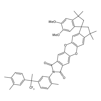 COc1cc2c(cc1OC)C1(CC2(C)C)CC(C)(C)c2cc3oc4cc5c(=O)n(-c6cc(C(C)(c7ccc(C)c(C)c7)C(F)(F)F)ccc6C)c(=O)c5cc4oc3cc21